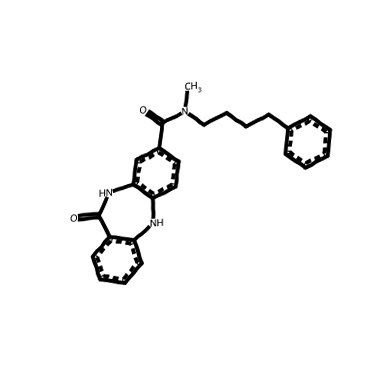 CN(CCCCc1ccccc1)C(=O)c1ccc2c(c1)NC(=O)c1ccccc1N2